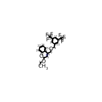 CCOC(=O)/C=C(/COCc1cc(C(F)(F)F)cc(C(F)(F)F)c1)c1ccccc1